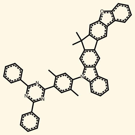 Cc1cc(-n2c3ccccc3c3cc4c(cc32)C(C)(C)c2cc3oc5ccccc5c3cc2-4)c(C)cc1-c1nc(-c2ccccc2)nc(-c2ccccc2)n1